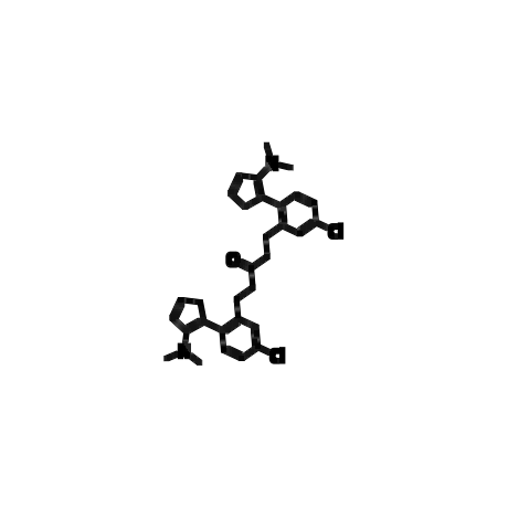 CN(C)C1=C(c2ccc(Cl)cc2CCC(=O)CCc2cc(Cl)ccc2C2=C(N(C)C)C=CC2)CC=C1